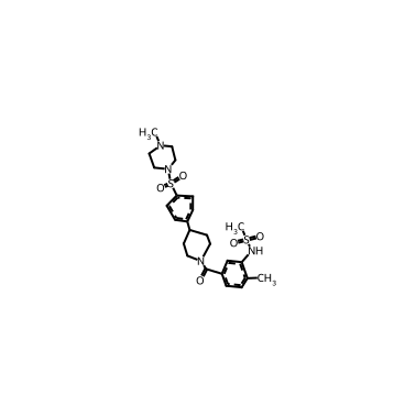 Cc1ccc(C(=O)N2CCC(c3ccc(S(=O)(=O)N4CCN(C)CC4)cc3)CC2)cc1NS(C)(=O)=O